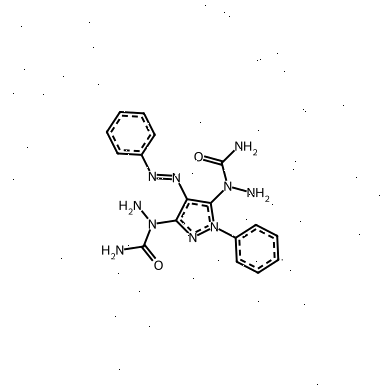 NC(=O)N(N)c1nn(-c2cc[c]cc2)c(N(N)C(N)=O)c1N=Nc1ccccc1